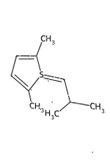 CC1=CC=C(C)S1=CC(C)C